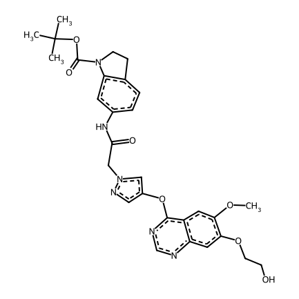 COc1cc2c(Oc3cnn(CC(=O)Nc4ccc5c(c4)N(C(=O)OC(C)(C)C)CC5)c3)ncnc2cc1OCCO